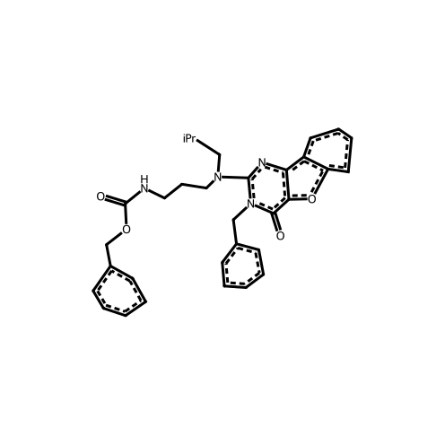 CC(C)CN(CCCNC(=O)OCc1ccccc1)c1nc2c(oc3ccccc32)c(=O)n1Cc1ccccc1